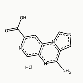 Cl.Nc1nc2cnc(C(=O)O)cc2n2cncc12